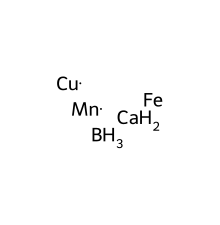 B.[CaH2].[Cu].[Fe].[Mn]